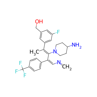 C=N/C=C(\C(=C(/C)c1cc(F)cc(CO)c1)N1CCC(N)CC1)c1ccc(C(F)(F)F)cc1